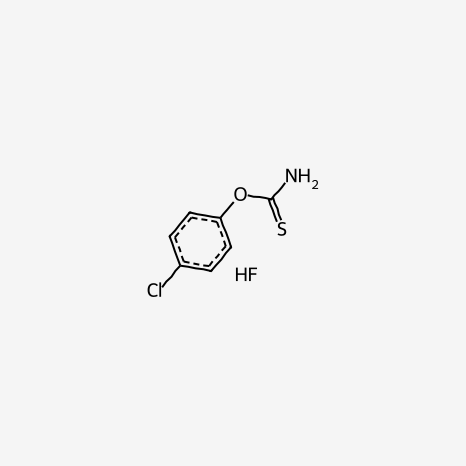 F.NC(=S)Oc1ccc(Cl)cc1